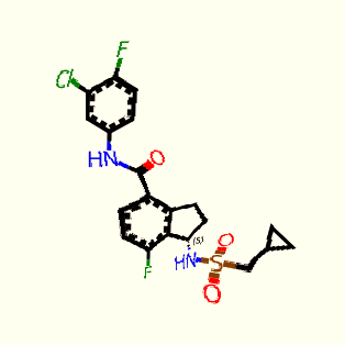 O=C(Nc1ccc(F)c(Cl)c1)c1ccc(F)c2c1CC[C@@H]2NS(=O)(=O)CC1CC1